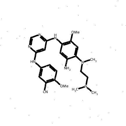 COc1ccc(Nc2cc(Nc3cc(N)c(N(C)CCN(C)C)cc3OC)ncn2)cc1C#N